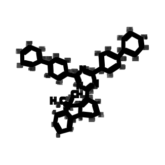 C[Si]1(C)c2ccccc2-c2cccc(-c3nc(-c4ccc(-c5ccccc5)cc4)nc(-c4ccc(-c5ccccc5)cc4)n3)c21